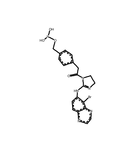 O=C(Cc1ccc(CON(O)O)cc1)N1CCN=C1Nc1ccc2nccnc2c1Br